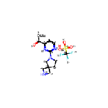 COC(=O)c1ccnc(N2CCC3(CNC3)C2)n1.O=S(=O)(O)C(F)(F)F